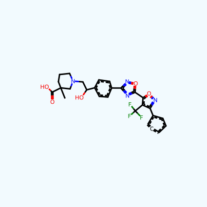 CC1(C(=O)O)CCCN(CC(O)c2ccc(-c3noc(-c4onc(-c5ccccc5)c4C(F)(F)F)n3)cc2)C1